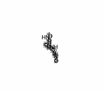 C=CC(=O)Nc1ccnc(-c2cccc3cnc(Nc4ccc(N5CCN(CCOC)CC5)cc4)nc23)c1